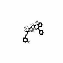 C[C@H](NC(=O)COc1cccc(Cl)c1)C(=O)N[C@H]1N=C(c2ccccc2)c2ccccc2N(C)C1=O